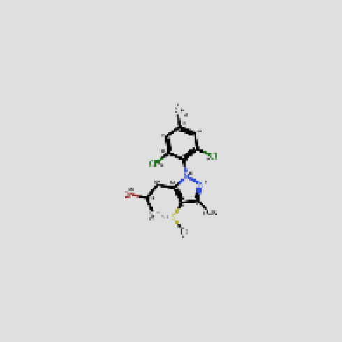 CCSc1c(C#N)nn(-c2c(Cl)cc(C(F)(F)F)cc2Cl)c1CC(C)Br